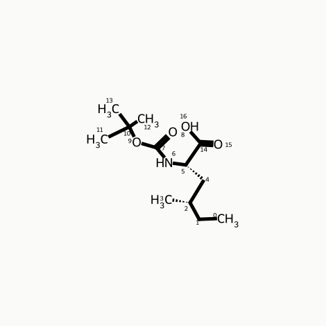 CC[C@H](C)C[C@H](NC(=O)OC(C)(C)C)C(=O)O